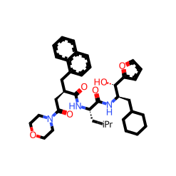 CC(C)C[C@H](NC(=O)[C@@H](CC(=O)N1CCOCC1)Cc1cccc2ccccc12)C(=O)N[C@H](CC1CCCCC1)[C@H](O)c1ccco1